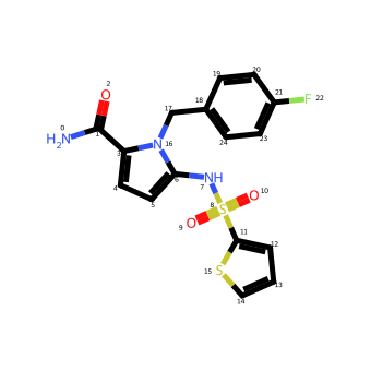 NC(=O)c1ccc(NS(=O)(=O)c2cccs2)n1Cc1ccc(F)cc1